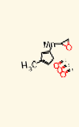 CC1=CC[C]([Mn][CH]2CO2)=C1.[C]=O.[C]=O.[C]=O